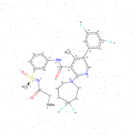 CNCC(=O)N=[S@](C)(=O)c1cccc(NC(=O)c2c(N3CCCC(F)(F)CC3)ncc(-c3cc(F)cc(F)c3)c2C)c1